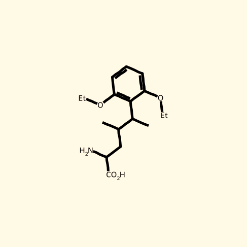 CCOc1cccc(OCC)c1C(C)C(C)CC(N)C(=O)O